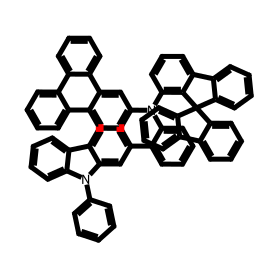 c1ccc(-n2c3ccccc3c3ccc(-c4ccccc4N(c4ccc5c6ccccc6c6ccccc6c5c4)c4cccc5c4C4(c6ccccc6-c6ccccc64)c4ccccc4-5)cc32)cc1